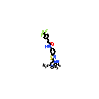 CC(CC(=N)c1nc2ccc(NC(=O)C=Cc3ccc(C(F)(F)F)cc3)cc2s1)N(C)C